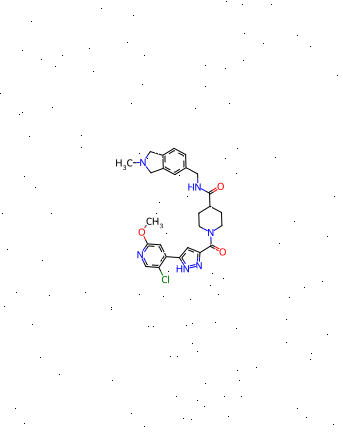 COc1cc(-c2cc(C(=O)N3CCC(C(=O)NCc4ccc5c(c4)CN(C)C5)CC3)n[nH]2)c(Cl)cn1